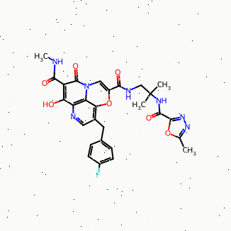 CNC(=O)c1c(O)c2ncc(Cc3ccc(F)cc3)c3c2n(c1=O)C=C(C(=O)NCC(C)(C)NC(=O)c1nnc(C)o1)O3